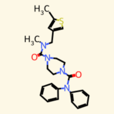 Cc1cc(CN(C)C(=O)N2CCN(C(=O)N(c3ccccc3)c3ccccc3)CC2)cs1